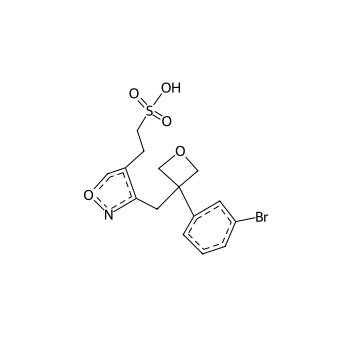 O=S(=O)(O)CCc1conc1CC1(c2cccc(Br)c2)COC1